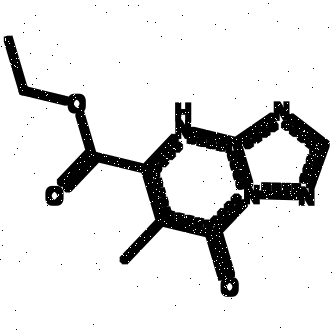 CCOC(=O)c1[nH]c2ncnn2c(=O)c1C